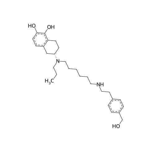 CCCN(CCCCCCNCCc1ccc(CO)cc1)[C@H]1CCc2c(ccc(O)c2O)C1